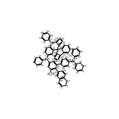 Cc1cc(N(c2ccccc2)c2ccc3c(c2)C2(c4ccccc4-c4ccccc42)c2ccccc2N3c2ccccc2)cc(-c2ccc(N(C3=CC=CCC3)c3ccccc3)cc2)c1-c1ccc2c(c1)C=CCC2